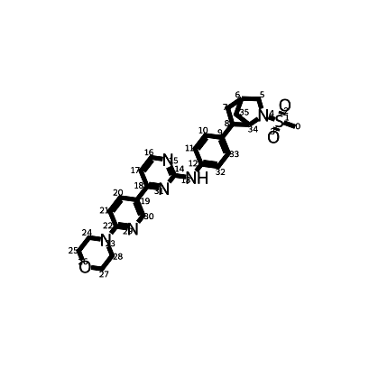 CS(=O)(=O)N1CC2CC(c3ccc(Nc4nccc(-c5ccc(N6CCOCC6)nc5)n4)cc3)C1C2